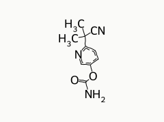 CC(C)(C#N)c1ccc(OC(N)=O)cn1